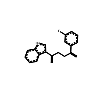 C=C(CCC(=C)c1c[nH]c2ccccc12)c1cccc(F)c1